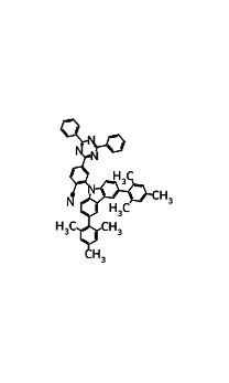 Cc1cc(C)c(-c2ccc3c(c2)c2cc(-c4c(C)cc(C)cc4C)ccc2n3-c2cc(-c3nc(-c4ccccc4)nc(-c4ccccc4)n3)ccc2C#N)c(C)c1